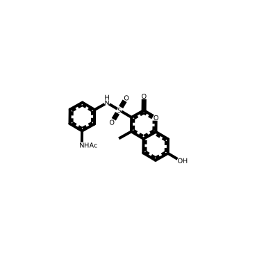 CC(=O)Nc1cccc(NS(=O)(=O)c2c(C)c3ccc(O)cc3oc2=O)c1